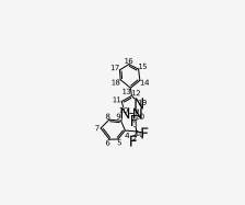 FC(F)(F)c1ccccc1-n1cc(-c2ccccc2)nn1